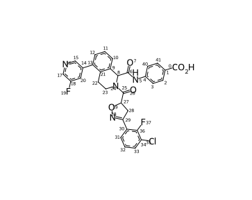 O=C(O)c1ccc(NC(=O)C2c3cccc(-c4cncc(F)c4)c3CCN2C(=O)C2CC(c3cccc(Cl)c3F)=NO2)cc1